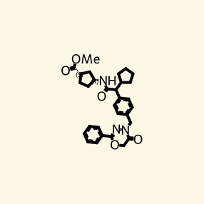 COC(=O)[C@H]1CC[C@@H](NC(=O)C(c2ccc(CN3N=C(c4ccccc4)OCC3=O)cc2)C2CCCC2)C1